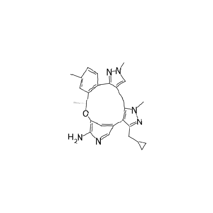 Cc1ccc2c(c1)[C@@H](C)Oc1cc(cnc1N)-c1c(CC3CC3)nn(C)c1Cc1cn(C)nc1-2